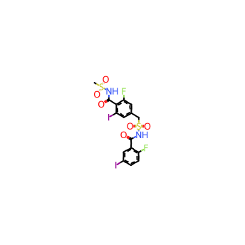 CS(=O)(=O)NC(=O)c1c(F)cc(CS(=O)(=O)NC(=O)c2cc(I)ccc2F)cc1I